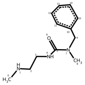 CNCCNC(=O)N(C)Cc1ccccc1